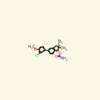 COc1ccc(-c2ccc3c(c2)CC(C)(C)[C@H]3OC(N)=O)cc1Cl